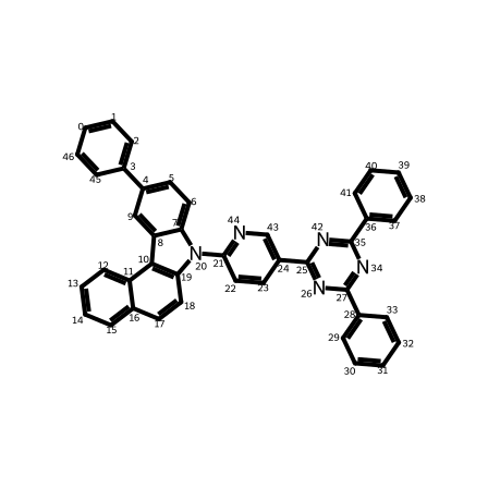 c1ccc(-c2ccc3c(c2)c2c4ccccc4ccc2n3-c2ccc(-c3nc(-c4ccccc4)nc(-c4ccccc4)n3)cn2)cc1